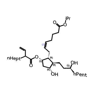 C=CC(CCCCCCC)C(=O)O[C@H]1C[C@@H](O)[C@H](CC[C@@H](O)CCCCC)[C@H]1C/C=C\CCCC(=O)OC(C)C